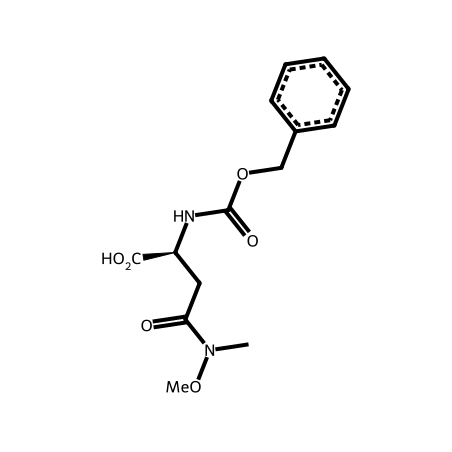 CON(C)C(=O)C[C@H](NC(=O)OCc1ccccc1)C(=O)O